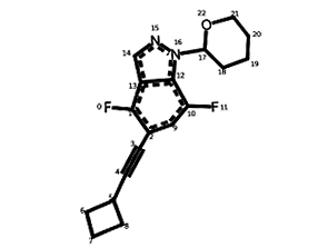 Fc1c(C#CC2CCC2)cc(F)c2c1cnn2C1CCCCO1